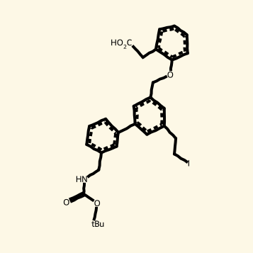 CC(C)(C)OC(=O)NCc1cccc(-c2cc(CCI)cc(COc3ccccc3CC(=O)O)c2)c1